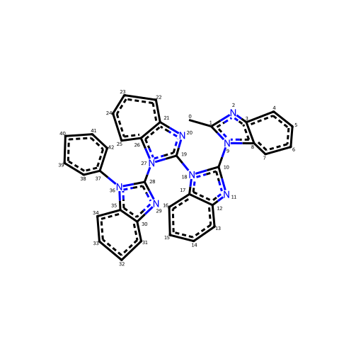 Cc1nc2ccccc2n1-c1nc2ccccc2n1-c1nc2ccccc2n1-c1nc2ccccc2n1-c1ccccc1